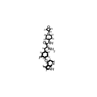 Cc1c[nH]c2nccc(Oc3ccc(C[C@H](N)C(=O)NC4CCN(C5COC5)CC4)cc3F)c12